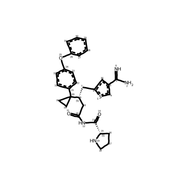 N=C(N)c1csc(C[C@H](CC(=O)NC(=O)[C@@H]2CCCN2)C2(c3ccc(Oc4ccccc4)cc3)CC2)c1